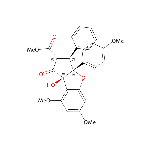 COC(=O)[C@H]1C(=O)[C@@]2(O)c3c(OC)cc(OC)cc3O[C@@]2(c2ccc(OC)cc2)[C@@H]1c1ccccc1